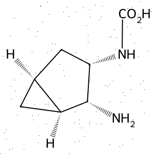 N[C@@H]1[C@H]2C[C@H]2C[C@@H]1NC(=O)O